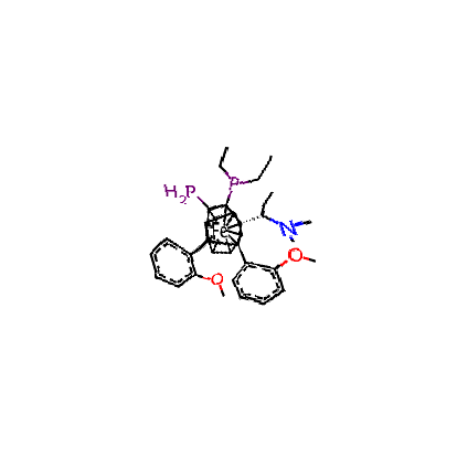 CCP(CC)[C]12[C]3(P)[C]4(c5ccccc5OC)[C]5(c6ccccc6OC)[C@@]1(C(C)N(C)C)[Fe]34521678[CH]2[CH]1[CH]6[CH]7[CH]28